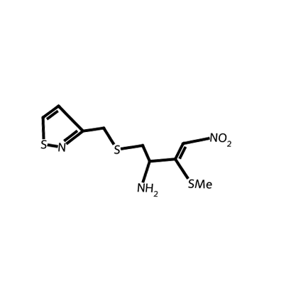 CSC(=C[N+](=O)[O-])C(N)CSCc1ccsn1